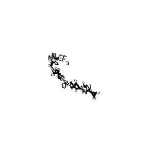 O=C(N1CC2(CC(n3cnc(C4CC4)n3)C2)C1)N1CC2(CN(Cc3nnc(C(F)(F)F)s3)C2)C1